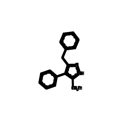 CCOC(=O)c1[nH]nc(Cc2ccccc2)c1-c1ccccc1